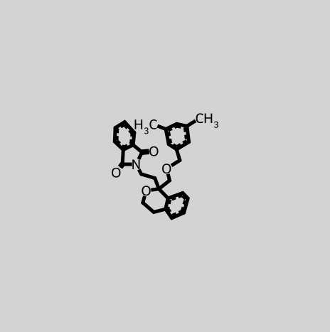 Cc1cc(C)cc(COCC2(CCN3C(=O)c4ccccc4C3=O)OCCc3ccccc32)c1